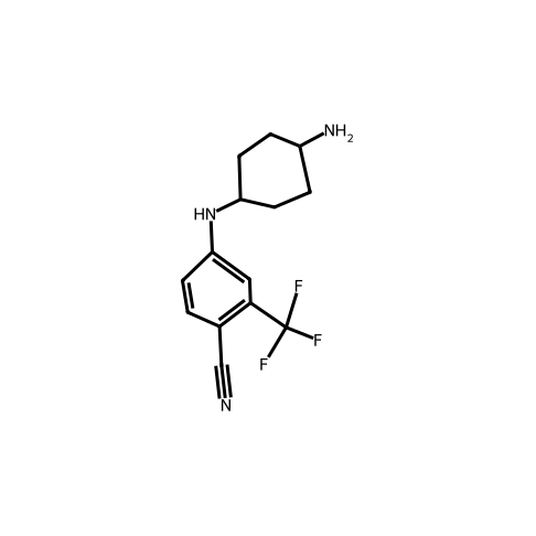 N#Cc1ccc(NC2CCC(N)CC2)cc1C(F)(F)F